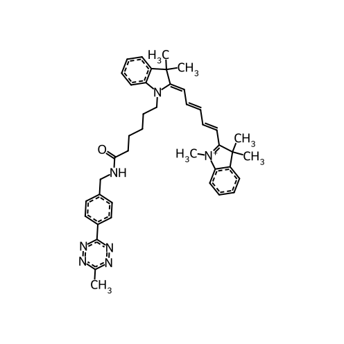 Cc1nnc(-c2ccc(CNC(=O)CCCCCN3C(=CC=CC=CC4=[N+](C)c5ccccc5C4(C)C)C(C)(C)c4ccccc43)cc2)nn1